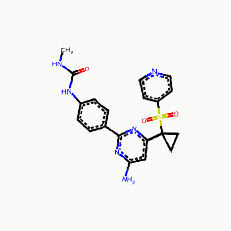 CNC(=O)Nc1ccc(-c2nc(N)cc(C3(S(=O)(=O)c4ccncc4)CC3)n2)cc1